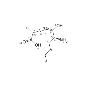 CCCC[C@H](N)C(=O)O.C[C@H](N)C(=O)O